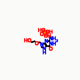 Nc1nc2c(c(=O)[nH]1)NCN2COCCO.O=P(O)(O)O